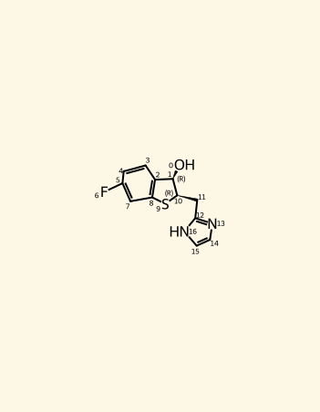 O[C@@H]1c2ccc(F)cc2S[C@@H]1Cc1ncc[nH]1